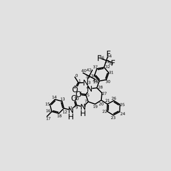 CC(=O)N(N1C(=O)C(NC(=O)Nc2cccc(C)c2)CC(c2ccccc2)CC1c1ccc(C(F)(F)F)cc1)C(C)(C)C